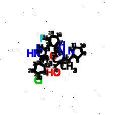 CC(C)(CO)[C@@H](Cc1ccccn1)NC(=O)c1cccc(F)c1-c1cc(-c2ccc(Cl)cc2)[nH]n1